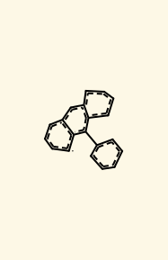 [c]1cccc2cc3ccccc3c(-c3ccccc3)c12